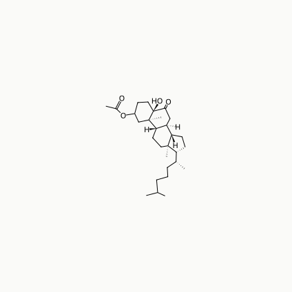 CC(=O)OC1CC[C@]2(O)C(=O)C[C@H]3[C@@H]4CC[C@H]([C@H](C)CCCC(C)C)[C@@]4(C)CC[C@@H]3[C@@]2(C)C1